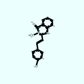 Cn1c(C=Cc2ccc(Cl)cc2)nc2ccccc2c1=O